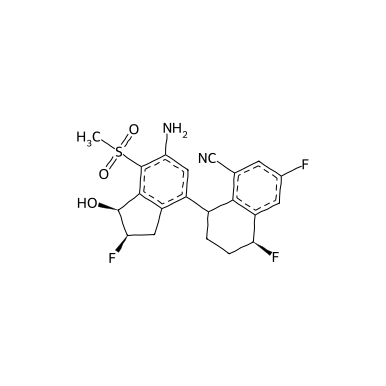 CS(=O)(=O)c1c(N)cc(C2CC[C@H](F)c3cc(F)cc(C#N)c32)c2c1[C@H](O)[C@H](F)C2